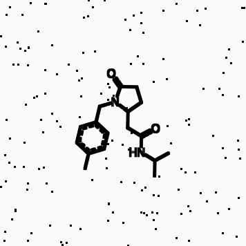 Cc1ccc(CN2C(=O)CCC2CC(=O)NC(C)C)cc1